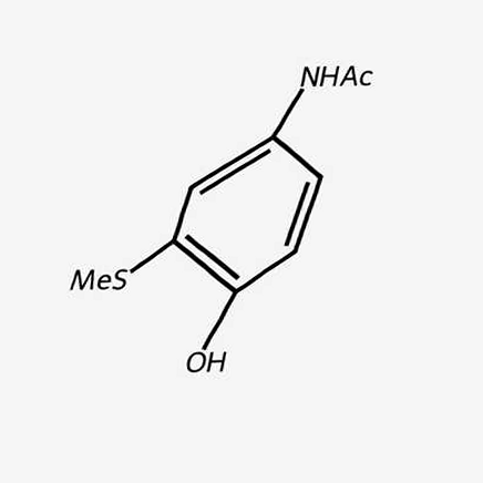 CSc1cc(NC(C)=O)ccc1O